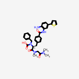 CN(C)C(=O)CN(C)C(=O)[C@H](Cc1ccc(C(=O)Nc2cc(-c3cccs3)ccc2N)cc1)N(Cc1ccccc1)C(=O)O